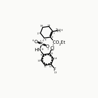 [2H]C1=C(C(=O)OCC)[C@H](S(=O)(=O)Nc2ccc(F)cc2Cl)CCC1